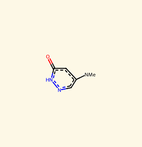 CNc1cn[nH]c(=O)c1